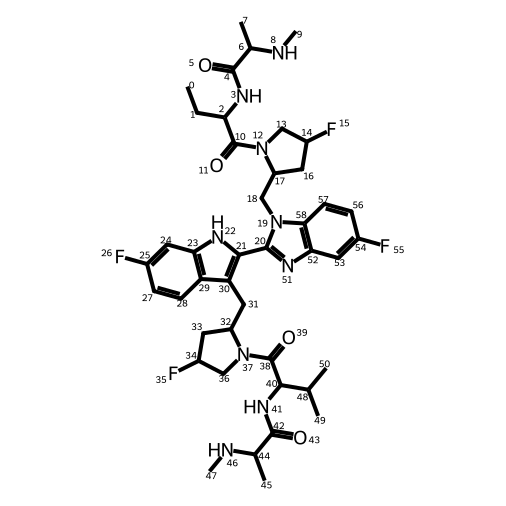 CCC(NC(=O)C(C)NC)C(=O)N1CC(F)CC1Cn1c(-c2[nH]c3cc(F)ccc3c2CC2CC(F)CN2C(=O)C(NC(=O)C(C)NC)C(C)C)nc2cc(F)ccc21